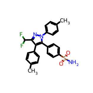 Cc1ccc(-c2c(C(F)F)nn(-c3ccc(C)cc3)c2-c2ccc(S(N)(=O)=O)cc2)cc1